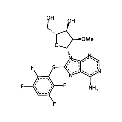 CO[C@@H]1[C@H](O)[C@@H](CO)O[C@H]1n1c(Sc2c(F)c(F)cc(F)c2F)nc2c(N)ncnc21